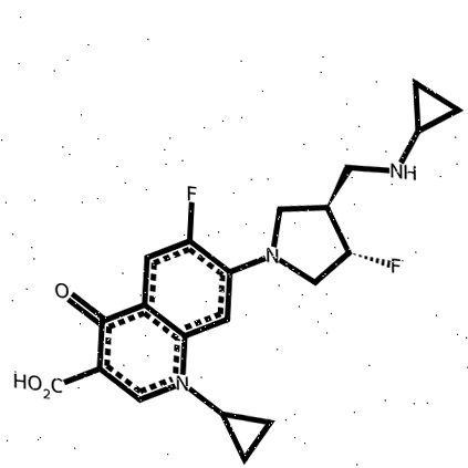 O=C(O)c1cn(C2CC2)c2cc(N3C[C@@H](CNC4CC4)[C@H](F)C3)c(F)cc2c1=O